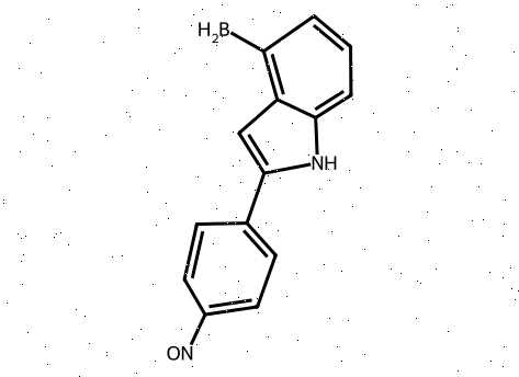 Bc1cccc2[nH]c(-c3ccc(N=O)cc3)cc12